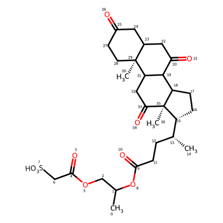 CC(COC(=O)CS(=O)(=O)O)OC(=O)CC[C@@H](C)[C@H]1CCC2C3C(=O)CC4CC(=O)CC[C@]4(C)C3CC(=O)[C@@]21C